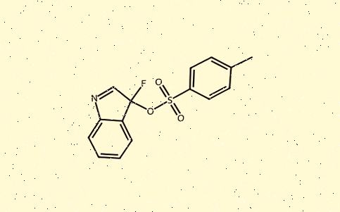 Cc1ccc(S(=O)(=O)OC2(F)C=Nc3ccccc32)cc1